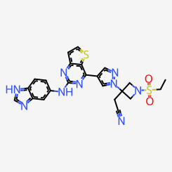 CCS(=O)(=O)N1CC(CC#N)(n2cc(-c3nc(Nc4ccc5[nH]cnc5c4)nc4ccsc34)cn2)C1